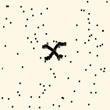 CCCC(C)[N+](CCC)(CCC)CCC